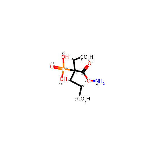 NOC(=O)C(CCC(=O)O)(CC(=O)O)P(=O)(O)O